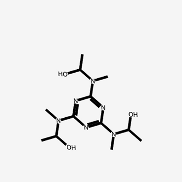 CC(O)N(C)c1nc(N(C)C(C)O)nc(N(C)C(C)O)n1